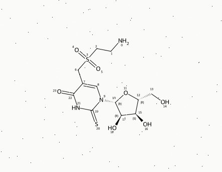 NCCS(=O)(=O)Cc1cn([C@@H]2O[C@H](CO)[C@@H](O)[C@H]2O)c(=S)[nH]c1=O